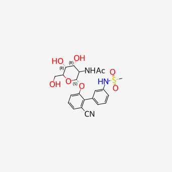 CC(=O)NC1[C@H](Oc2cccc(C#N)c2-c2cccc(NS(C)(=O)=O)c2)OC(CO)[C@H](O)[C@@H]1O